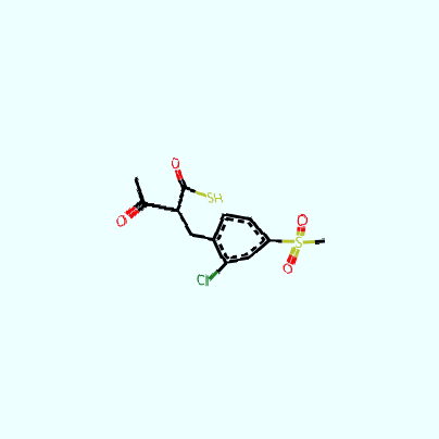 CC(=O)C(Cc1ccc(S(C)(=O)=O)cc1Cl)C(=O)S